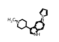 CN1CCC(c2c[nH]c3ccc([SH]4C=CC=C4)cc23)CC1